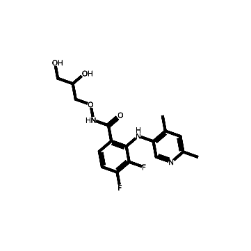 Cc1cc(C)c(Nc2c(C(=O)NOCC(O)CO)ccc(F)c2F)cn1